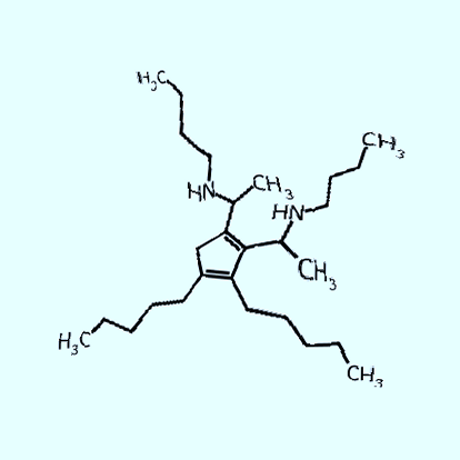 CCCCCC1=C(CCCCC)C(C(C)NCCCC)=C(C(C)NCCCC)C1